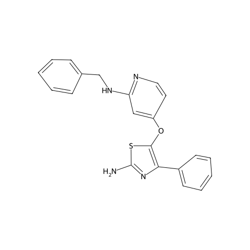 Nc1nc(-c2ccccc2)c(Oc2ccnc(NCc3ccccc3)c2)s1